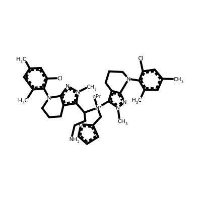 CCC[N+](Cc1ccco1)(c1c2c(nn1C)N(c1c(C)cc(C)cc1Cl)CCC2)C(CCN)c1c2c(nn1C)N(c1c(C)cc(C)cc1Cl)CCC2